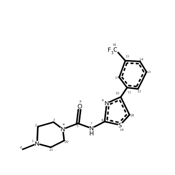 CN1CCN(C(=O)Nc2nc(-c3cccc(C(F)(F)F)c3)cs2)CC1